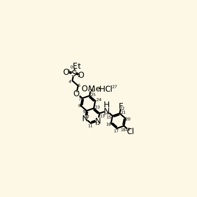 CCS(=O)(=O)CCOc1cc2ncnc(Nc3ccc(Cl)cc3F)c2cc1OC.Cl